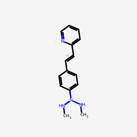 CNN(NC)c1ccc(/C=C/c2ccccn2)cc1